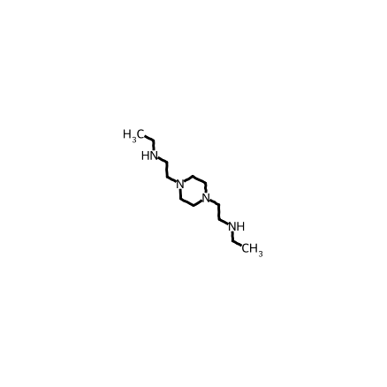 CCNCCN1CCN(CCNCC)CC1